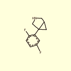 Fc1ccc(F)c(C23CNCC2C3)c1